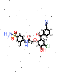 Cc1cc(S(N)(=O)=O)ccc1NC(=O)COc1cc(O)c(Cl)cc1C(=O)c1cccc(C#N)c1